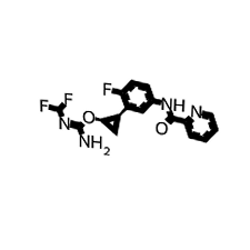 N/C(=N/C(F)F)O[C@@H]1C[C@@H]1c1cc(NC(=O)c2ccccn2)ccc1F